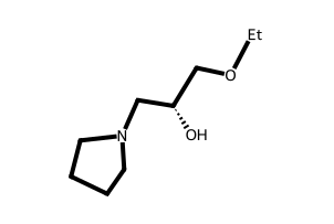 CCOC[C@H](O)CN1CCCC1